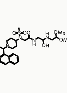 COC(CNC(O)CNC(=O)CN(C1CCN(C(C)c2cccc3ccccc23)CC1)S(C)(=O)=O)OC